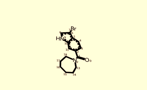 O=C(c1ccc2c(Br)c[nH]c2c1)N1CCCCCC1